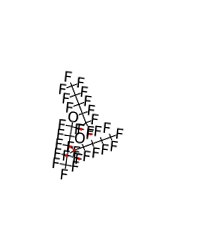 FC(F)(F)C(F)(F)C(F)(F)C(F)(OC(F)(F)C(F)(OC(F)(C(F)(F)F)C(F)(F)C(F)(F)C(F)(F)F)C(F)(F)C(F)(F)C(F)(F)F)C(F)(F)F